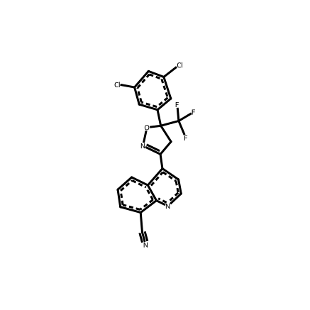 N#Cc1cccc2c(C3=NOC(c4cc(Cl)cc(Cl)c4)(C(F)(F)F)C3)ccnc12